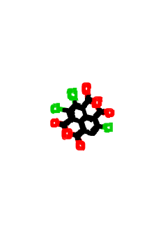 O=C1OC(=O)c2c(Cl)c(Cl)c3c4c(c(Cl)cc1c24)C(=O)OC3=O